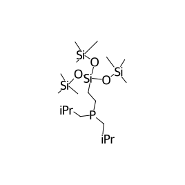 CC(C)CP(CC[Si](O[Si](C)(C)C)(O[Si](C)(C)C)O[Si](C)(C)C)CC(C)C